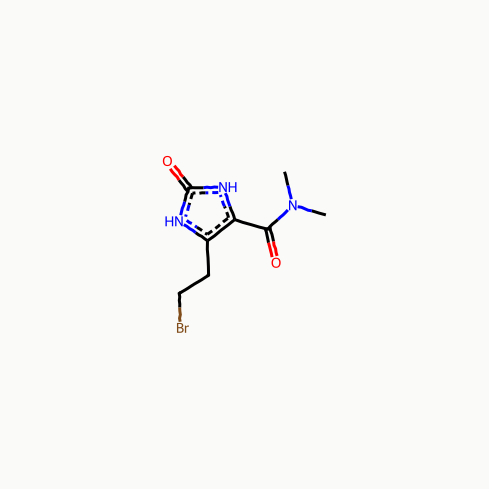 CN(C)C(=O)c1[nH]c(=O)[nH]c1CCBr